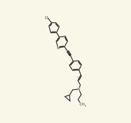 CCCN(C/C=C/c1ccc(C#Cc2ccc(-c3ccc(Cl)cc3)cn2)cc1)CC1CC1